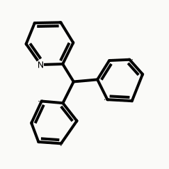 [c]1cc[c]c(C(c2[c]cc[c]c2)c2ccccn2)c1